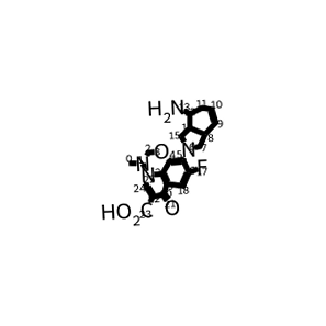 CN1COc2c(N3CC4C=CCC(N)C4C3)c(F)cc3c(=O)c(C(=O)O)cn1c23